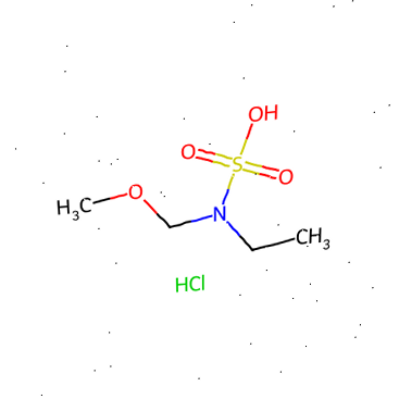 CCN(COC)S(=O)(=O)O.Cl